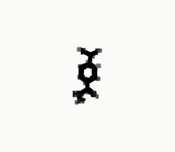 CC(C)NC(=O)c1ccc(C(F)F)nc1